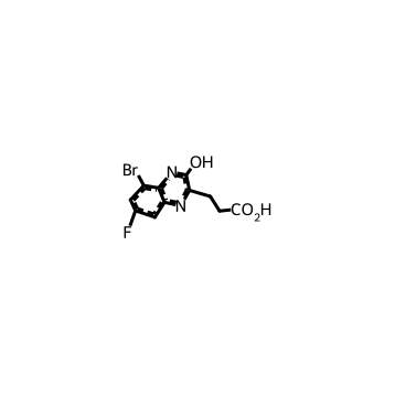 O=C(O)CCc1nc2cc(F)cc(Br)c2nc1O